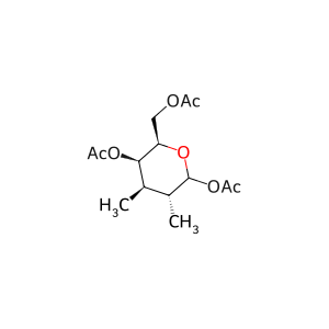 CC(=O)OC[C@H]1OC(OC(C)=O)[C@H](C)[C@@H](C)[C@H]1OC(C)=O